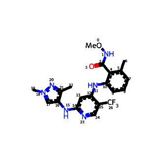 CONC(=O)c1c(C)cccc1Nc1cc(Nc2cn(C)nc2C)ncc1C(F)(F)F